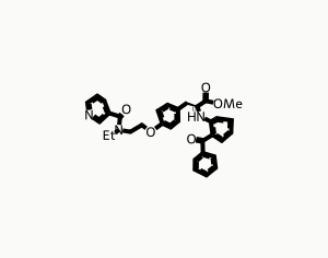 CCN(CCOc1ccc(C[C@H](Nc2ccccc2C(=O)c2ccccc2)C(=O)OC)cc1)C(=O)c1cccnc1